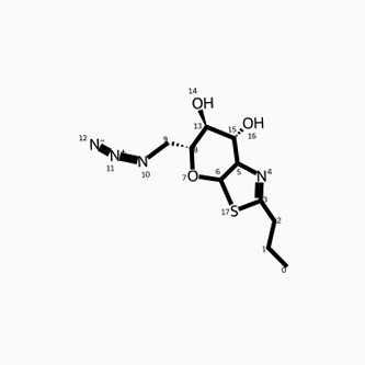 CCCC1=NC2C(O[C@H](CN=[N+]=[N-])[C@@H](O)[C@@H]2O)S1